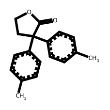 Cc1ccc(C2(c3ccc(C)cc3)CCOC2=O)cc1